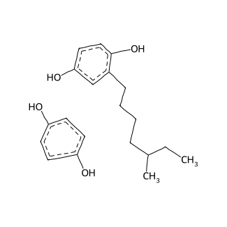 CCC(C)CCCCc1cc(O)ccc1O.Oc1ccc(O)cc1